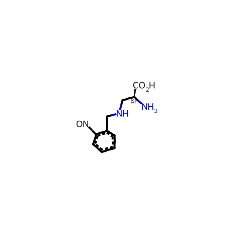 N[C@@H](CNCc1ccccc1N=O)C(=O)O